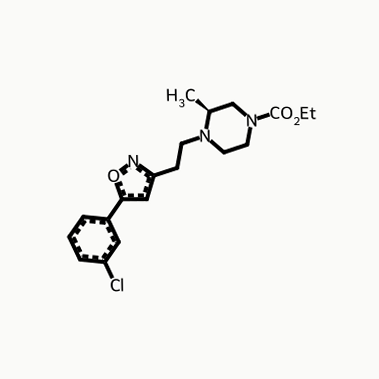 CCOC(=O)N1CCN(CCc2cc(-c3cccc(Cl)c3)on2)[C@@H](C)C1